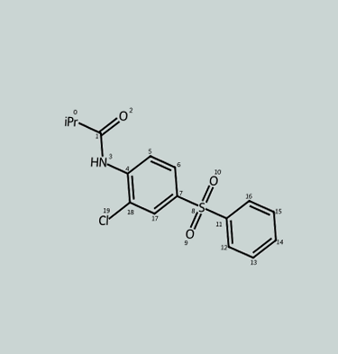 CC(C)C(=O)Nc1ccc(S(=O)(=O)c2ccccc2)cc1Cl